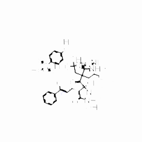 CCCC(CC(C)(C)C)(C(=O)NN)C(=O)[C@](C)(N)[C@H](C/C=C(\C)c1ccccc1)C(=O)NO.Cc1ccc(S(=O)(=O)O)cc1